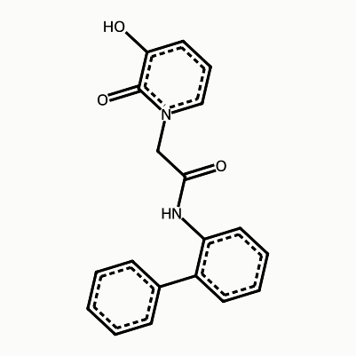 O=C(Cn1cccc(O)c1=O)Nc1ccccc1-c1ccccc1